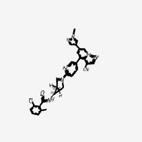 Cc1cccc(Cl)c1C(=O)N[C@H]1[C@@H]2CN(c3ccc(-c4cc(-c5cnn(C)c5)cn5ncc(C#N)c45)cn3)C[C@@H]21